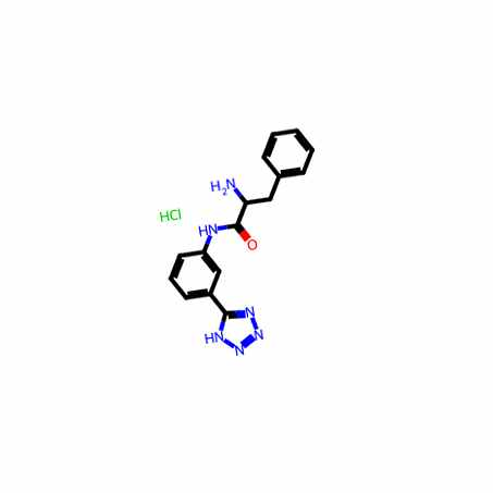 Cl.NC(Cc1ccccc1)C(=O)Nc1cccc(-c2nnn[nH]2)c1